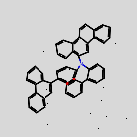 c1ccc(-c2ccccc2N(c2ccc(-c3cc4ccccc4c4ccccc34)cc2)c2cc3c4ccccc4ccc3c3ccccc23)cc1